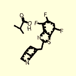 CC(C)C(=O)O.Fc1cc(F)c2sc(Cc3cc4cnc3-4)nc2c1F